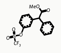 COC(=O)C(c1ccccc1)c1cccc(OS(=O)(=O)C(F)(F)F)c1